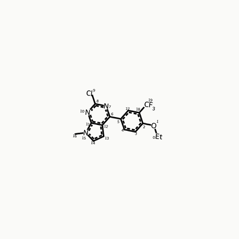 CCOc1ccc(-c2nc(Cl)nc3c2ccn3C)cc1C(F)(F)F